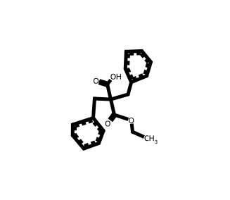 CCOC(=O)C(Cc1ccccc1)(Cc1ccccc1)C(=O)O